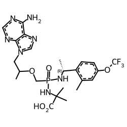 Cc1cc(OC(F)(F)F)ccc1[C@@H](C)NP(=O)(COC(C)Cn1cnc2c(N)ncnc21)NC(C)(C)C(=O)O